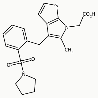 Cc1c(Cc2ccccc2S(=O)(=O)N2CCCC2)c2ccsc2n1CC(=O)O